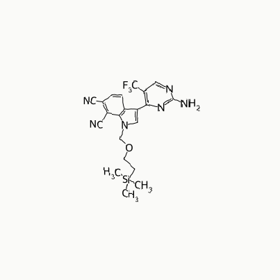 C[Si](C)(C)CCOCn1cc(-c2nc(N)ncc2C(F)(F)F)c2ccc(C#N)c(C#N)c21